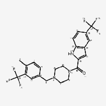 Cc1ccc(CN2CCN(C(=O)c3cc4cc(C(F)(F)F)ccc4[nH]3)CC2)cc1C(F)(F)F